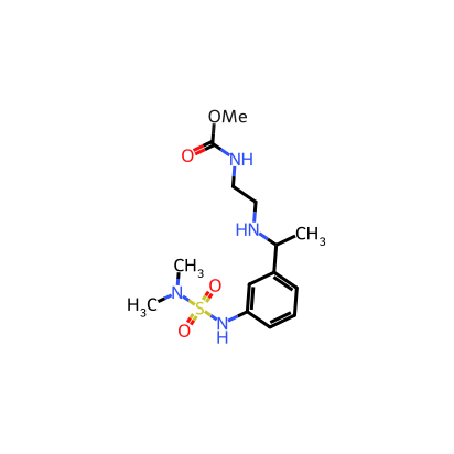 COC(=O)NCCNC(C)c1cccc(NS(=O)(=O)N(C)C)c1